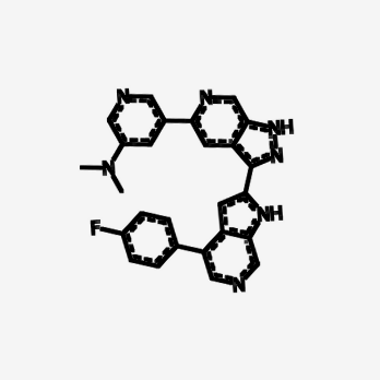 CN(C)c1cncc(-c2cc3c(-c4cc5c(-c6ccc(F)cc6)cncc5[nH]4)n[nH]c3cn2)c1